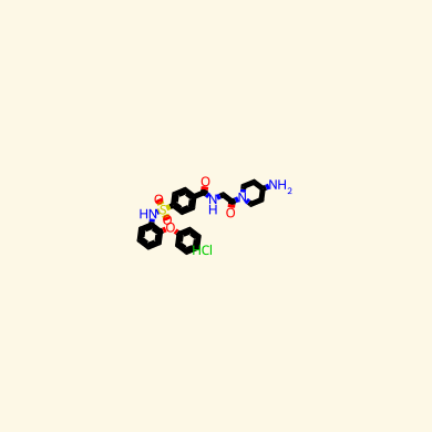 Cl.NC1CCN(C(=O)CNC(=O)c2ccc(S(=O)(=O)Nc3ccccc3Oc3ccccc3)cc2)CC1